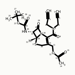 C#CCN(CC#C)C(=O)C1=C(COC(C)=O)CS[C@@H]2[C@H](NC(=O)OC(C)(C)C)C(=O)N12